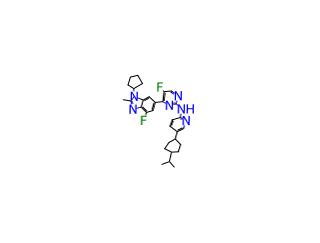 Cc1nc2c(F)cc(-c3nc(Nc4ccc(C5CCC(C(C)C)CC5)cn4)ncc3F)cc2n1C1CCCC1